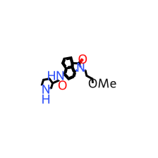 COCCCN1C(=O)c2cccc3c(NC(=O)C4CCCNC4)ccc1c23